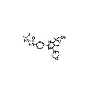 CC(I)NC(=O)Nc1ccc(-c2nc(N3CCOCC3)c3c(n2)C(C)(CO)OC3)cc1